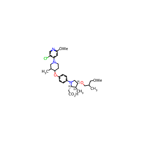 COCC(C)CO[C@H]1CN(c2ccc(OC3CCN(c4cc(OC)ncc4Cl)CC3C)cc2)[C@@H](CC(=O)O)[C@@H]1C